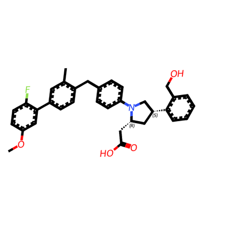 COc1ccc(F)c(-c2ccc(Cc3ccc(N4C[C@H](c5ccccc5CO)C[C@@H]4CC(=O)O)cc3)c(C)c2)c1